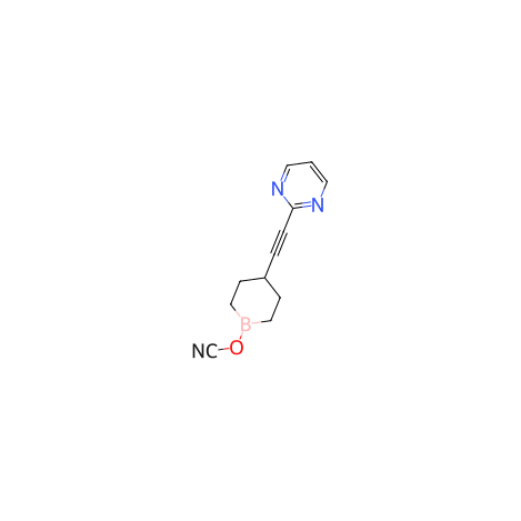 N#COB1CCC(C#Cc2ncccn2)CC1